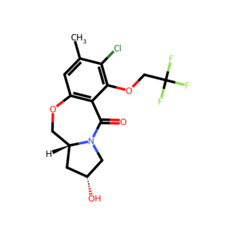 Cc1cc2c(c(OCC(F)(F)F)c1Cl)C(=O)N1C[C@H](O)C[C@@H]1CO2